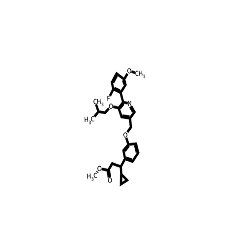 COC(=O)CC(c1cccc(OCc2cnc(-c3cc(OC)ccc3F)c(OCC(C)C)c2)c1)C1CC1